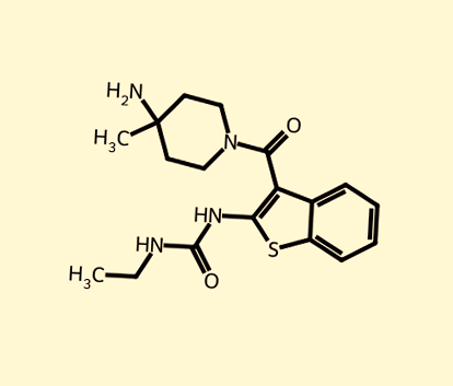 CCNC(=O)Nc1sc2ccccc2c1C(=O)N1CCC(C)(N)CC1